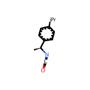 CC(C)c1ccc([C@H](C)N=C=O)cc1